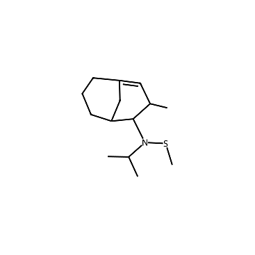 CSN(C(C)C)C1C(C)C=C2CCCC1C2